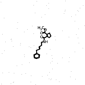 COC(=O)C1=C(C(=O)NCCC=CCc2ccccc2)CCC1